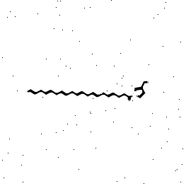 CC/C=C/C/C=C/C/C=C/C/C=C/C/C=C/C/C=C/CCC(=O)n1ccc(CC(=O)O)c1